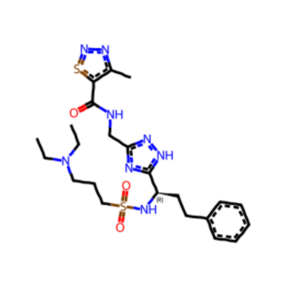 CCN(CC)CCCS(=O)(=O)N[C@H](CCc1ccccc1)c1nc(CNC(=O)c2snnc2C)n[nH]1